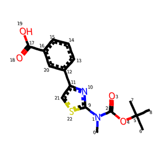 CN(C(=O)OC(C)(C)C)c1nc(-c2cccc(C(=O)O)c2)cs1